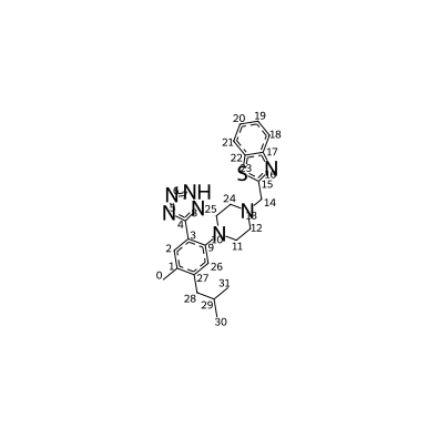 Cc1cc(-c2nn[nH]n2)c(N2CCN(Cc3nc4ccccc4s3)CC2)cc1CC(C)C